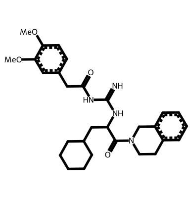 COc1ccc(CC(=O)NC(=N)NC(CC2CCCCC2)C(=O)N2CCc3ccccc3C2)cc1OC